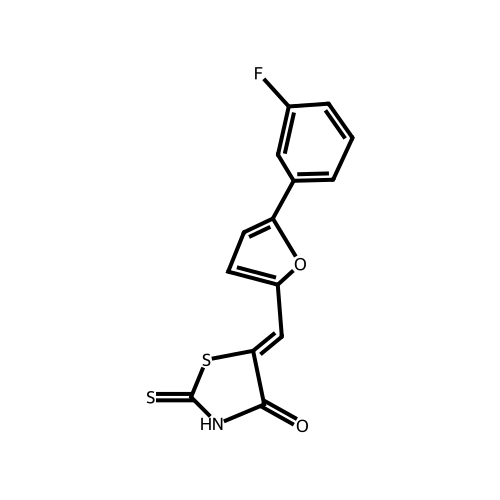 O=C1NC(=S)S/C1=C\c1ccc(-c2cccc(F)c2)o1